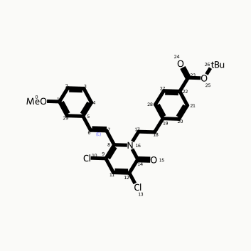 COc1cccc(/C=C/c2c(Cl)cc(Cl)c(=O)n2CCc2ccc(C(=O)OC(C)(C)C)cc2)c1